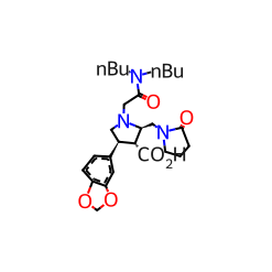 CCCCN(CCCC)C(=O)CN1C[C@H](c2ccc3c(c2)OCO3)[C@@H](C(=O)O)[C@@H]1CN1CCCC1=O